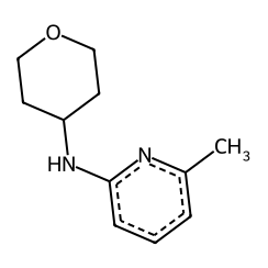 Cc1cccc(NC2CCOCC2)n1